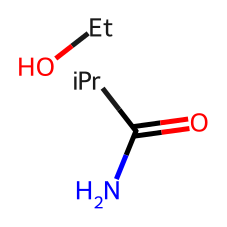 CC(C)C(N)=O.CCO